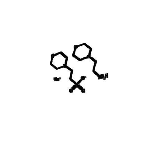 O=S(=O)(O)CCN1CCOCC1.O=S(=O)([O-])CCN1CCOCC1.[Na+]